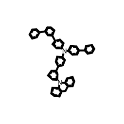 c1ccc(-c2ccc(N(c3ccc(-c4cccc(-c5ccccc5)c4)cc3)c3ccc(-c4cccc(N5c6ccccc6Cc6ccccc65)c4)cc3)cc2)cc1